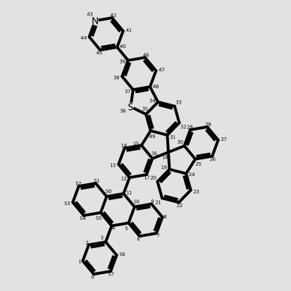 c1ccc(-c2c3ccccc3c(-c3ccc4c(c3)C3(c5ccccc5-c5ccccc53)c3ccc5c(sc6cc(-c7ccncc7)ccc65)c3-4)c3ccccc23)cc1